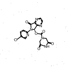 O=C1CN(C(=O)O[C@@H]2c3nccnc3C(=O)N2c2ccc(Cl)cn2)CC(=O)N1